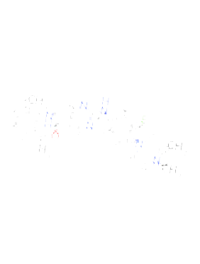 Cc1cccc(C)c1NC(=O)c1cnc(Nc2ccc(N3CCN(C)C(C)C3)c(F)c2)nc1